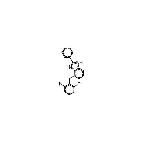 Fc1cccc(F)c1Cc1cccc2[nH]c(-c3ccccc3)nc12